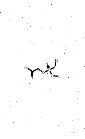 CCOP(=O)(OCC)OCC(=O)C(C)C